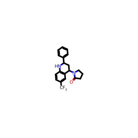 O=C1CCCN1C1CC(c2ccccc2)Nc2ccc(C(F)(F)F)cc21